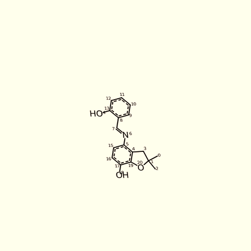 CC1(C)Cc2c(/N=C/c3ccccc3O)ccc(O)c2O1